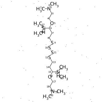 CN(C)CCOC(CCSSSSCCC(OCCN(C)C)[SiH](C)C)[SiH](C)C